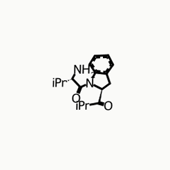 CC(C)C(=O)[C@@H]1Cc2ccccc2N1C(=O)[C@@H](N)C(C)C